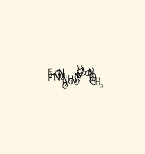 COc1cc(-c2cc(C(=O)N3CCC(C(=O)NCc4nccc(C(F)F)n4)CC3)n[nH]2)c(Cl)cn1